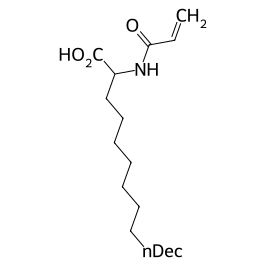 C=CC(=O)NC(CCCCCCCCCCCCCCCCC)C(=O)O